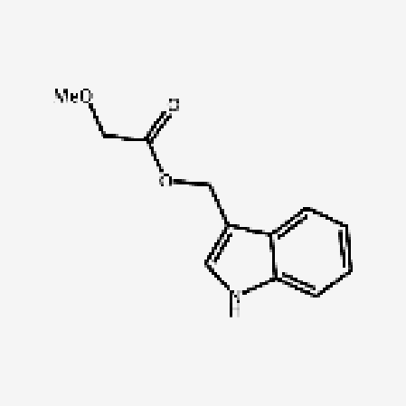 COCC(=O)OCc1c[nH]c2ccccc12